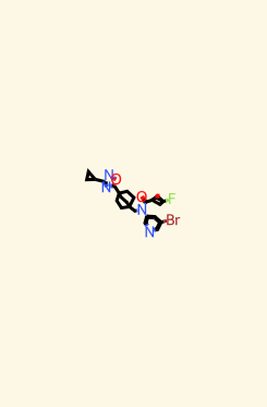 O=C(N(CC12CCC(c3nc(C4CC4)no3)(CC1)CC2)c1cncc(Br)c1)C12CC(F)(C1)C2